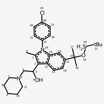 Cc1c(C(O)CN2CCCCC2)c2ccc(C(C)(C)O[SiH2]C(C)(C)C)cc2n1-c1ccc(Cl)cc1